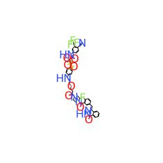 CO[C@@](C)(CS(=O)(=O)c1ccc(NCCOCCC(=O)N2CCN(C(=O)c3cc(Cc4n[nH]c(=O)c5ccccc45)ccc3F)CC2)cc1)C(=O)Nc1ccc(C#N)c(C(F)(F)F)c1